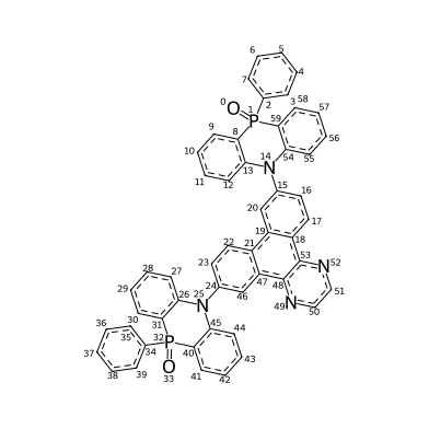 O=P1(c2ccccc2)c2ccccc2N(c2ccc3c(c2)c2ccc(N4c5ccccc5P(=O)(c5ccccc5)c5ccccc54)cc2c2nccnc32)c2ccccc21